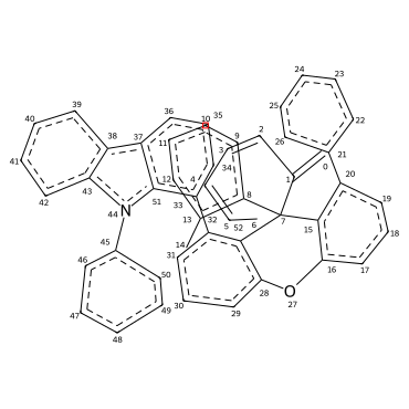 C=C(/C=C\C=C/C)C1(c2ccccc2C)c2c(cccc2-c2ccccc2)Oc2cccc(-c3cccc4c5ccccc5n(-c5ccccc5)c34)c21